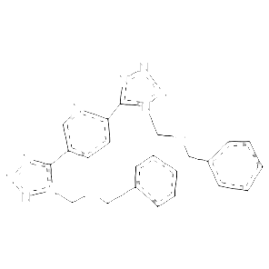 c1ccc(COCn2nnnc2-c2ccc(-c3nnnn3COCc3ccccc3)nc2)cc1